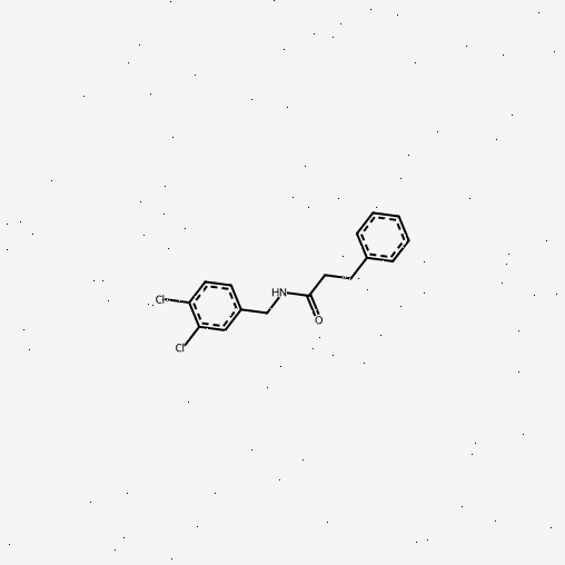 O=C(CCc1ccccc1)NCc1ccc(Cl)c(Cl)c1